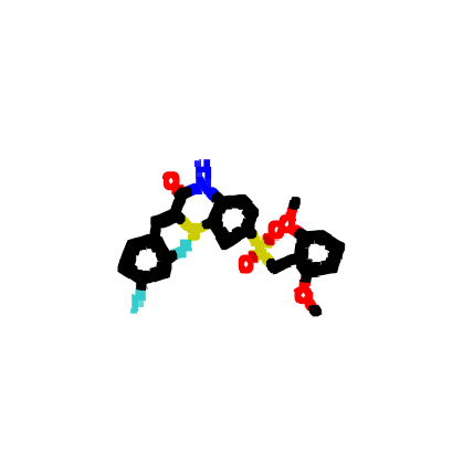 COc1cccc(OC)c1CS(=O)(=O)c1ccc2c(c1)S/C(=C\c1ccc(F)cc1F)C(=O)N2